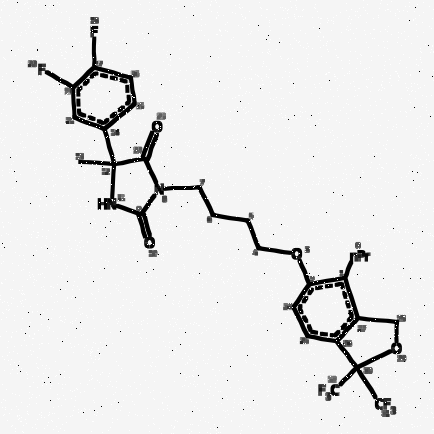 CCCc1c(OCCCCN2C(=O)NC(C)(c3ccc(F)c(F)c3)C2=O)ccc2c1COC2(C(F)(F)F)C(F)(F)F